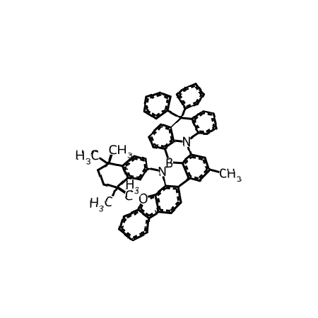 Cc1cc2c3c(c1)N1c4ccccc4C(c4ccccc4)(c4ccccc4)c4cccc(c41)B3N(c1ccc3c(c1)C(C)(C)CCC3(C)C)c1c-2ccc2c1oc1ccccc12